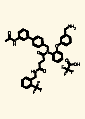 CC(=O)Nc1cccc(-c2ccc(CN(C(=O)CCC(=O)NCc3ccccc3C(F)(F)F)c3ccccc3Oc3cccc(CN)c3)cc2)c1.O=C(O)C(F)(F)F